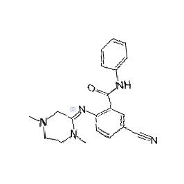 CN1CCN(C)/C(=N\c2ccc(C#N)cc2C(=O)Nc2ccccc2)C1